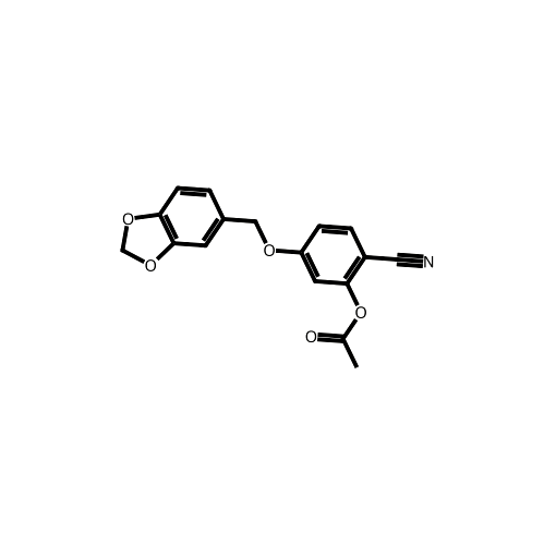 CC(=O)Oc1cc(OCc2ccc3c(c2)OCO3)ccc1C#N